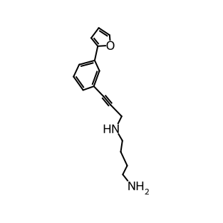 NCCCCNCC#Cc1cccc(-c2ccco2)c1